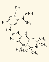 CC1(C)CC(Nc2nc(Nc3cc(N(N)C=N)c(C4CC4)cc3F)ncc2C(N)=O)CC(C)(C)N1